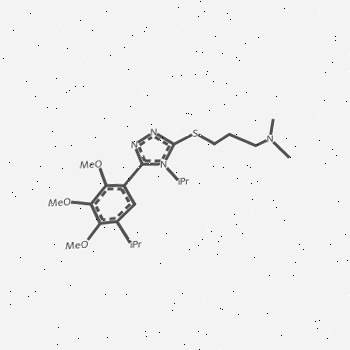 COc1c(-c2nnc(SCCCN(C)C)n2C(C)C)cc(C(C)C)c(OC)c1OC